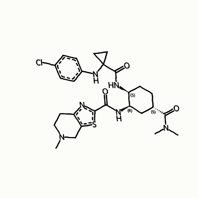 CN1CCc2nc(C(=O)N[C@@H]3C[C@@H](C(=O)N(C)C)CC[C@@H]3NC(=O)C3(Nc4ccc(Cl)cc4)CC3)sc2C1